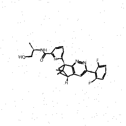 C[C@H](CO)NC(=O)c1cccc([C@@]23CC[C@@H](c4cc(-c5c(F)cccc5F)nnc42)C3(C)C)n1